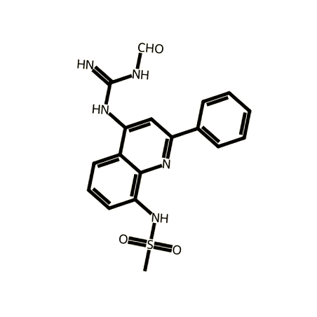 CS(=O)(=O)Nc1cccc2c(NC(=N)NC=O)cc(-c3ccccc3)nc12